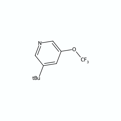 CC(C)(C)c1cncc(OC(F)(F)F)c1